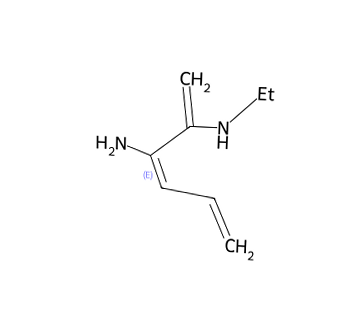 C=C/C=C(/N)C(=C)NCC